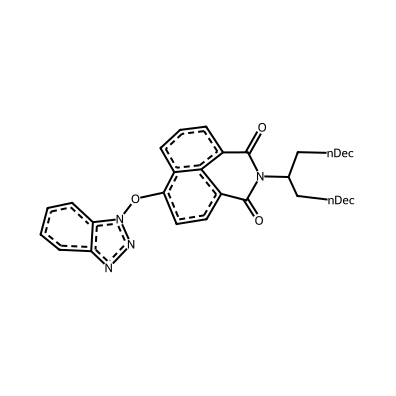 CCCCCCCCCCCC(CCCCCCCCCCC)N1C(=O)c2cccc3c(On4nnc5ccccc54)ccc(c23)C1=O